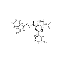 CC(C)n1cnc2c(NCCc3cn(C)c4ccccc34)nc(-c3cncc(F)c3)nc21